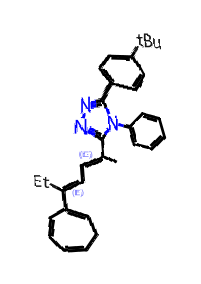 CC/C(=C\C=C(/C)c1nnc(-c2ccc(C(C)(C)C)cc2)n1-c1ccccc1)C1=CCC=CC=C1